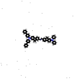 CC1(C)c2cc(/C=C/c3ccc4c(c3)C(C)(C)c3cc(N(c5ccc(-c6ccccc6)cc5)c5ccc(-c6ccccc6)cc5)ccc3-4)ccc2-c2ccc(N(c3ccccc3)c3ccccc3)cc21